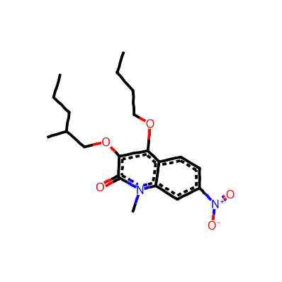 CCCCOc1c(OCC(C)CCC)c(=O)n(C)c2cc([N+](=O)[O-])ccc12